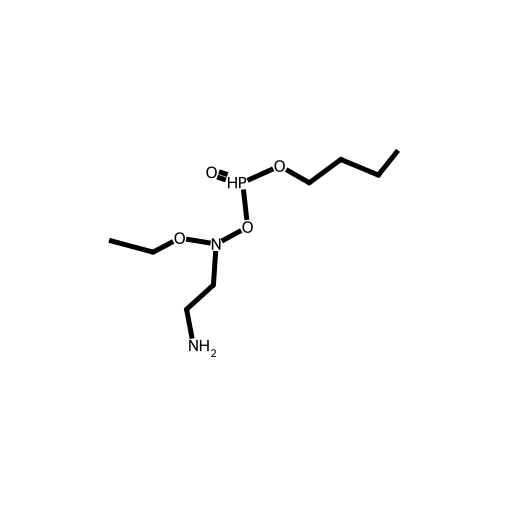 CCCCO[PH](=O)ON(CCN)OCC